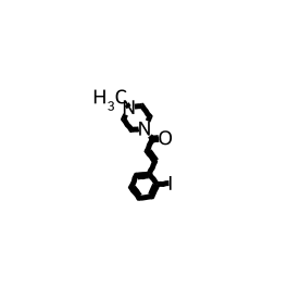 CN1CCN(C(=O)C=Cc2ccccc2I)CC1